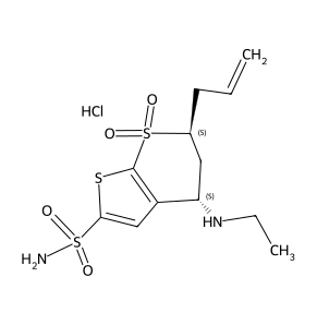 C=CC[C@H]1C[C@H](NCC)c2cc(S(N)(=O)=O)sc2S1(=O)=O.Cl